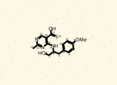 COc1ccc(CC(CO)Nc2nc(C)ncc2C(O)=S)cc1